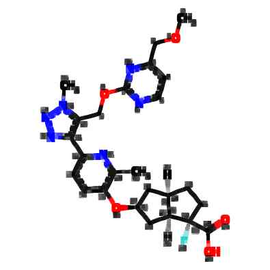 COCc1ccnc(OCc2c(-c3ccc(O[C@H]4C[C@H]5CC[C@@](F)(C(=O)O)[C@H]5C4)c(C)n3)nnn2C)n1